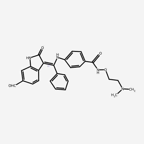 CN(C)CCONC(=O)c1ccc(N/C(=C2\C(=O)Nc3cc(C=O)ccc32)c2ccccc2)cc1